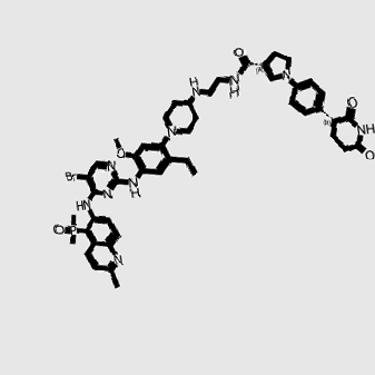 CCc1cc(Nc2ncc(Br)c(Nc3ccc4nc(C)ccc4c3P(C)(C)=O)n2)c(OC)cc1N1CCC(NCCNC(=O)[C@@H]2CCN(c3ccc([C@H]4CCC(=O)NC4=O)cc3)C2)CC1